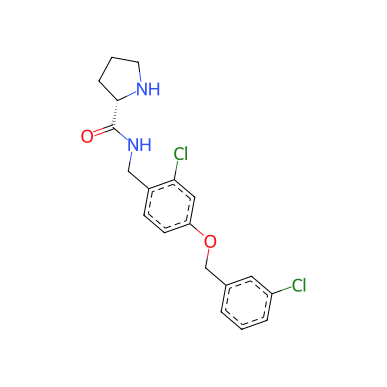 O=C(NCc1ccc(OCc2cccc(Cl)c2)cc1Cl)[C@@H]1CCCN1